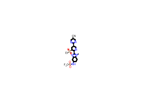 CCS(=O)(=O)c1cc(-c2ncc(C#N)cn2)cnc1-c1nc2cc(NS(=O)(=O)C(F)(F)F)ccc2n1C